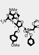 CNc1nc(N)nc2c1ncn2[C@@H]1O[C@H](CO[P@@](=O)(N[C@@H](C)C(=O)OC(C)C)Oc2ccccc2)[C@@H](OCc2ccc(OC)cc2)[C@@]1(C)F